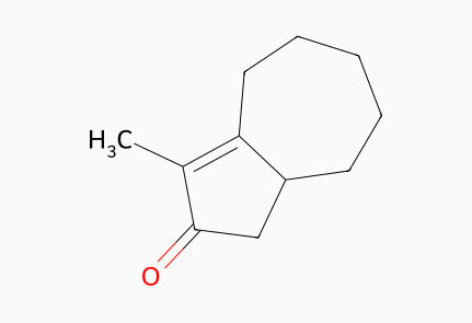 CC1=C2CCCCCC2CC1=O